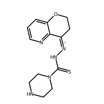 S=C(N/N=C1/CCOc2cccnc21)N1CCNCC1